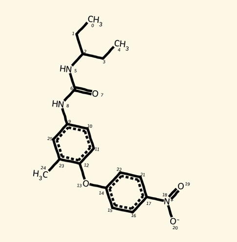 CCC(CC)NC(=O)Nc1ccc(Oc2ccc([N+](=O)[O-])cc2)c(C)c1